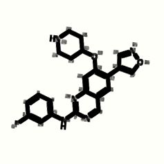 Fc1cccc(Nc2ncc3cc(-c4cnoc4)c(OC4CCNCC4)cc3n2)c1